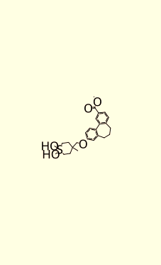 COC(=O)c1ccc2c(c1)-c1ccc(OCC3(C)CCS(O)(O)CC3)cc1CCC2